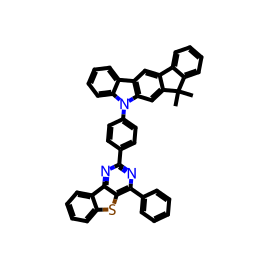 CC1(C)c2ccccc2-c2cc3c4ccccc4n(-c4ccc(-c5nc(-c6ccccc6)c6sc7ccccc7c6n5)cc4)c3cc21